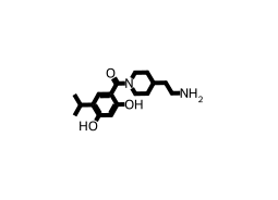 CC(C)c1cc(C(=O)N2CCC(CCN)CC2)c(O)cc1O